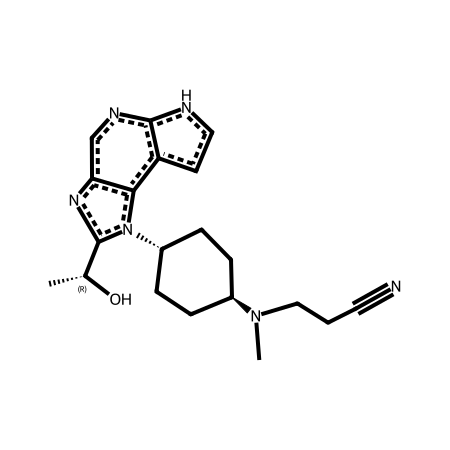 C[C@@H](O)c1nc2cnc3[nH]ccc3c2n1[C@H]1CC[C@H](N(C)CCC#N)CC1